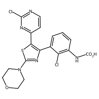 O=C(O)Nc1cccc(-c2nc(N3CCOCC3)sc2-c2ccnc(Cl)n2)c1Cl